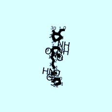 CCc1cc(Nc2cc(=O)n(CCCCNS(=O)(=O)c3cccs3)c(=O)[nH]2)ccc1C